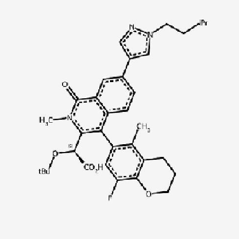 Cc1c(-c2c([C@H](OC(C)(C)C)C(=O)O)n(C)c(=O)c3cc(-c4cnn(CCC(C)C)c4)ccc23)cc(F)c2c1CCCO2